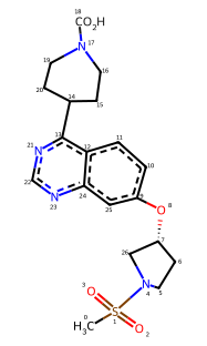 CS(=O)(=O)N1CC[C@@H](Oc2ccc3c(C4CCN(C(=O)O)CC4)ncnc3c2)C1